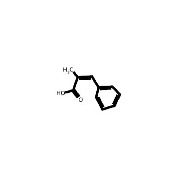 C/C(=C/c1cc[c]cc1)C(=O)O